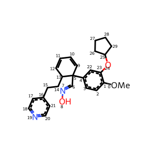 COc1ccc(C2(C=NO)C=CC=CC2CCc2ccncc2)cc1OC1CCCC1